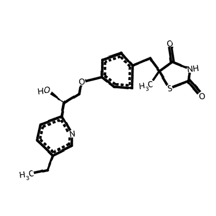 CCc1ccc([C@@H](O)COc2ccc(CC3(C)SC(=O)NC3=O)cc2)nc1